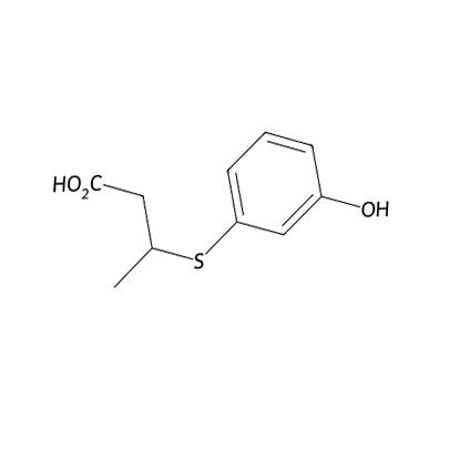 CC(CC(=O)O)Sc1cccc(O)c1